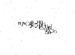 C[C@]12C=CC(=O)C=C1[C@@H](F)C[C@H]1[C@@H]3C[C@H]4O[C@@H](c5ccc(S(=O)(=O)c6ccc(N)cc6)cc5)O[C@@]4(C(=O)CO)[C@@]3(C)C[C@H](O)[C@@]12F